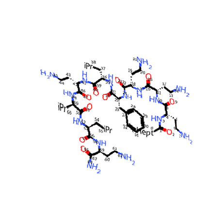 CCCCCCCC(=O)N[C@@H](CCN)C(=O)N[C@@H](CCN)C(=O)N[C@@H](CCN)C(=O)N[C@H](Cc1ccccc1)C(=O)N[C@@H](CC(C)C)C(=O)N[C@@H](CCN)C(=O)N[C@@H](C(=O)N[C@@H](CC(C)C)C(=O)N[C@@H](CCN)C(N)=O)C(C)C